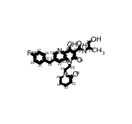 CC(CO)NC(=O)c1c(O)c2ncc(Cc3ccc(F)cc3)cc2n(CCN2CCCCC2=O)c1=O